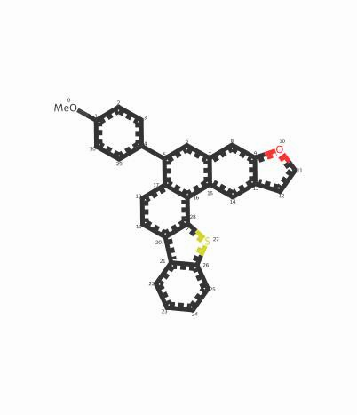 COc1ccc(-c2cc3cc4occc4cc3c3c2ccc2c4ccccc4sc23)cc1